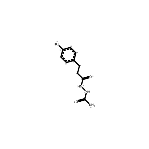 NC(=S)NNC(=O)CCc1ccc(O)cc1